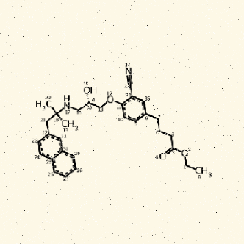 CCOC(=O)CCCc1ccc(OC[C@@H](O)CNC(C)(C)Cc2ccc3ccccc3c2)c(C#N)c1